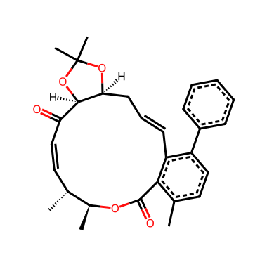 Cc1ccc(-c2ccccc2)c2c1C(=O)O[C@@H](C)[C@H](C)/C=C\C(=O)[C@H]1OC(C)(C)O[C@H]1C/C=C/2